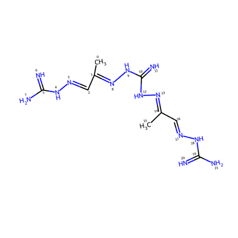 CC(/C=N/NC(=N)N)=N\NC(=N)N/N=C(C)/C=N/NC(=N)N